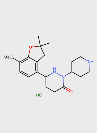 COc1ccc(C2CCC(=O)N(C3CCNCC3)N2)c2c1OC(C)(C)C2.Cl